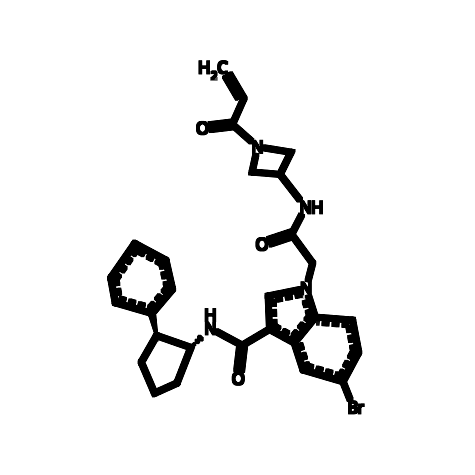 C=CC(=O)N1CC(NC(=O)Cn2cc(C(=O)N[C@@H]3CCC[C@H]3c3ccccc3)c3cc(Br)ccc32)C1